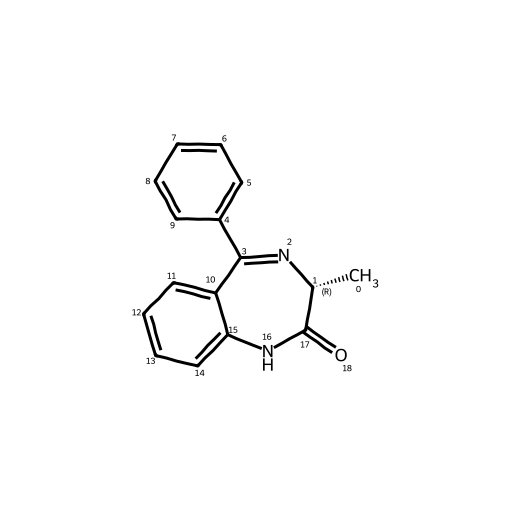 C[C@H]1N=C(c2ccccc2)c2ccccc2NC1=O